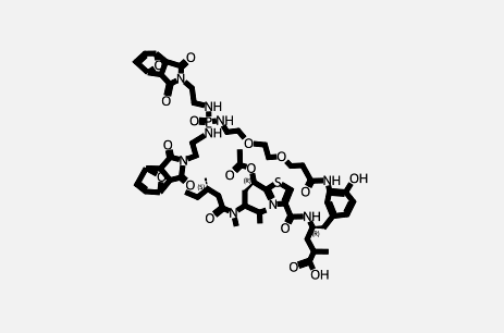 CC[C@H](C)CC(=O)N(C)C(C[C@@H](OC(C)=O)c1nc(C(=O)N[C@@H](Cc2ccc(O)c(NC(=O)CCOCCOCCNP(=O)(NCCN3C(=O)C4C5C=CC(O5)C4C3=O)NCCN3C(=O)C4C5C=CC(O5)C4C3=O)c2)CC(C)C(=O)O)cs1)C(C)C